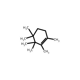 CC1=C(C)C(C)(C)C(C)(C)CC1